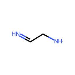 [NH]CC=N